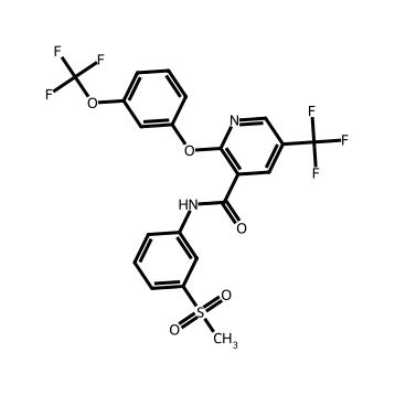 CS(=O)(=O)c1cccc(NC(=O)c2cc(C(F)(F)F)cnc2Oc2cccc(OC(F)(F)F)c2)c1